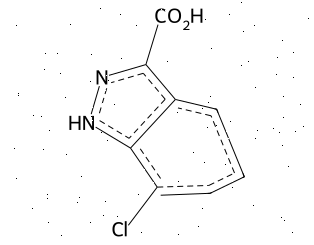 O=C(O)c1n[nH]c2c(Cl)cccc12